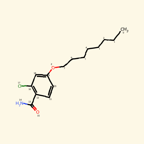 CCCCCCCCOc1ccc(C(N)=O)c(Cl)c1